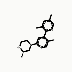 Cc1cnc(-c2cc(N3CCN[C@H](C)C3)ncc2Cl)c(C)c1